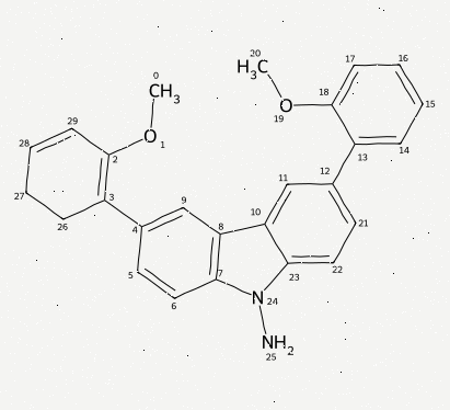 COC1=C(c2ccc3c(c2)c2cc(-c4ccccc4OC)ccc2n3N)CCC=C1